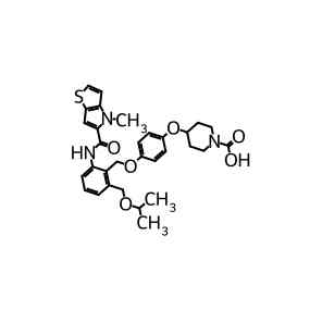 CC(C)OCc1cccc(NC(=O)c2cc3sccc3n2C)c1COc1ccc(OC2CCN(C(=O)O)CC2)cc1